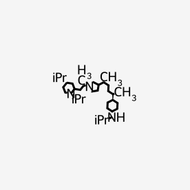 CC(C)N[C@H]1CC[C@@H](C(C)CCC(C)C2CCN(C(C)CC3CC(C(C)C)CCN3C(C)C)C2)CC1